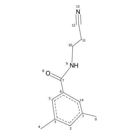 Cc1cc(C)cc(C(=O)NCCC#N)c1